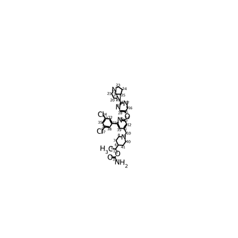 CC(OC(N)=O)C1CCN(Cc2cc(Oc3cnc(N4CCN5CCC4C5)nc3)nc(-c3cc(Cl)cc(Cl)c3)c2)CC1